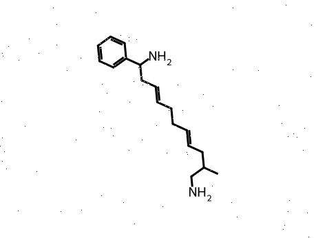 CC(CN)C/C=C/CC/C=C/CC(N)c1ccccc1